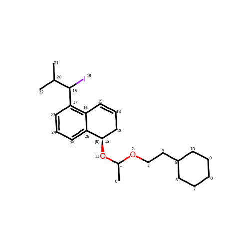 CC(OCCC1CCCCC1)O[C@@H]1CC=Cc2c(C(I)C(C)C)cccc21